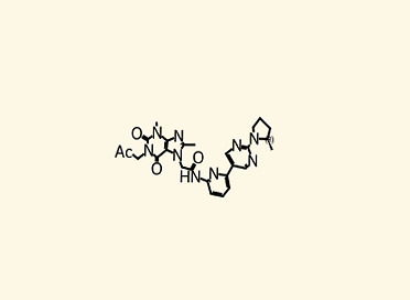 CC(=O)Cn1c(=O)c2c(nc(C)n2CC(=O)Nc2cccc(-c3cnc(N4CCC[C@H]4C)nc3)n2)n(C)c1=O